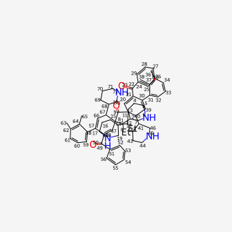 CCC(C1CCCNC1)C1(C(=O)C2(C(CC)C3CCCNC3)C=C(C(=O)c3ccccc3)C(c3cccc(C)c3C)=CC2C2CCCNC2)C=C(C(=O)c2ccccc2)C(c2cccc(C)c2C)=CC1C1CCCNC1